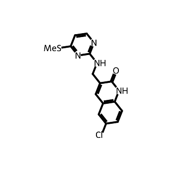 CSc1ccnc(NCc2cc3cc(Cl)ccc3[nH]c2=O)n1